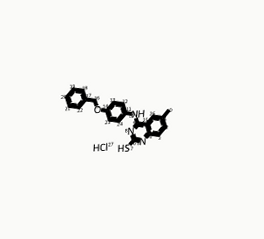 Cc1ccc2nc(S)nc(Nc3ccc(OCc4ccccc4)cc3)c2c1.Cl